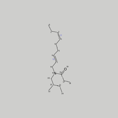 CC/C=C\CC/C=C/CN(CC(C)CC)C(=O)CC